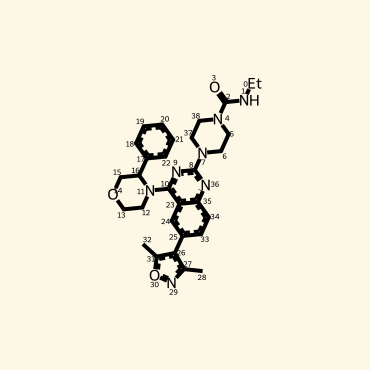 CCNC(=O)N1CCN(c2nc(N3CCOCC3c3ccccc3)c3cc(-c4c(C)noc4C)ccc3n2)CC1